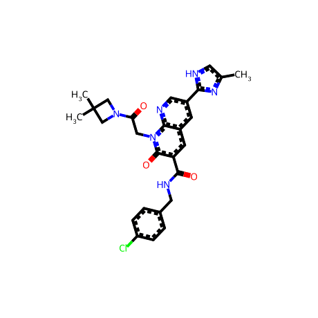 Cc1c[nH]c(-c2cnc3c(c2)cc(C(=O)NCc2ccc(Cl)cc2)c(=O)n3CC(=O)N2CC(C)(C)C2)n1